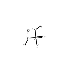 COP(=O)([S-])SC.[K+]